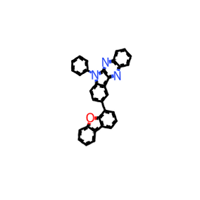 c1ccc(-n2c3ccc(-c4cccc5c4oc4ccccc45)cc3c3nc4ccccc4nc32)cc1